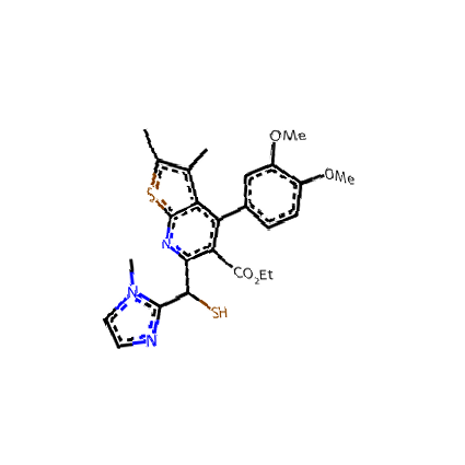 CCOC(=O)c1c(C(S)c2nccn2C)nc2sc(C)c(C)c2c1-c1ccc(OC)c(OC)c1